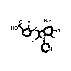 O=C(O)c1cccc(Sc2c(Cl)n(-c3cccnc3)c3c(F)c(Cl)ccc23)c1F.[Na]